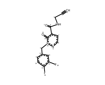 C#CCNC(=O)c1ccnn(Cc2ccc(F)c(F)c2)c1=O